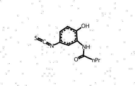 CCCC(=O)Nc1cc(N=C=S)ccc1O